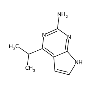 CC(C)c1nc(N)nc2[nH]ccc12